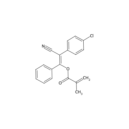 C=C(C)C(=O)OC(=C(C#N)c1ccc(Cl)cc1)c1ccccc1